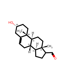 C[C@]12CC[C@@H](O)CC1=CC[C@@H]1[C@@H]2CC[C@]2(C)C(C=O)CC[C@@H]12